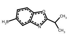 Bc1ccc2oc(C(C)C)nc2c1